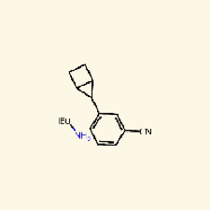 CCC(C)N.N#Cc1cccc(C2C3CCC32)c1